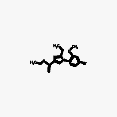 CCOC(=O)c1cn(-c2ccc(Br)cc2OC)c(CC)n1